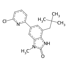 Cn1c(=O)[nH]c2c(CC(C)(C)C)cc(-c3cccc(Cl)n3)cc21